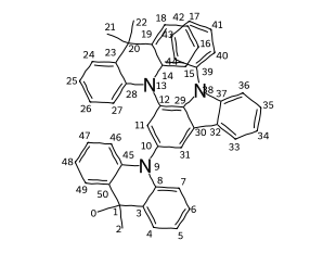 CC1(C)c2ccccc2N(c2cc(N3c4ccccc4C(C)(C)c4ccccc43)c3c(c2)c2ccccc2n3-c2ccccc2)c2ccccc21